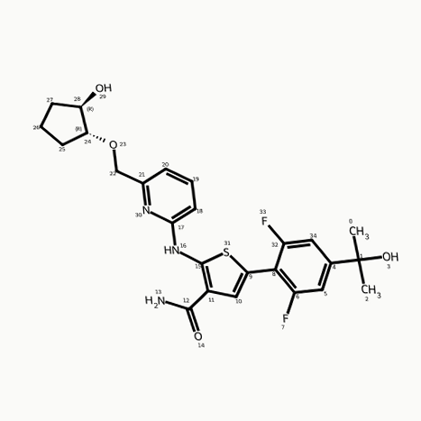 CC(C)(O)c1cc(F)c(-c2cc(C(N)=O)c(Nc3cccc(CO[C@@H]4CCC[C@H]4O)n3)s2)c(F)c1